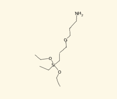 CCO[Si](CC)(CCCOCCCN)OCC